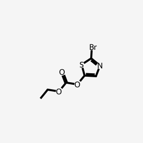 CCOC(=O)Oc1cnc(Br)s1